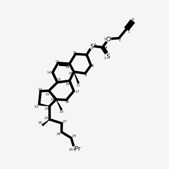 C#CCOC(=S)SC1CC[C@@]2(C)C(=CCC3C2CC[C@@]2(C)C3CC[C@@H]2[C@H](C)CCCC(C)C)C1